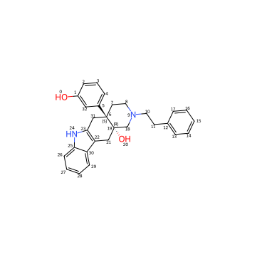 Oc1cccc([C@@]23CCN(CCc4ccccc4)C[C@@]2(O)Cc2c([nH]c4ccccc24)C3)c1